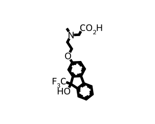 CN(CCOc1ccc2c(c1)C(O)(C(F)(F)F)c1ccccc1-2)CC(=O)O